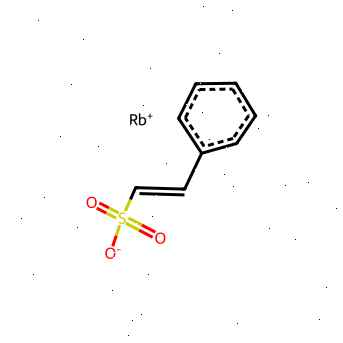 O=S(=O)([O-])C=Cc1ccccc1.[Rb+]